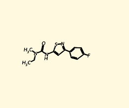 CCN(C)C(=O)Nc1cc(-c2ccc(F)cc2)ns1